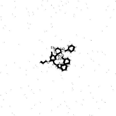 C=CCOc1cc(C)c(C2(O)O[C@H](CC)C[C@H](OCc3ccccc3)[C@H]2OCc2ccccc2)cc1Cc1cc2ccccc2s1